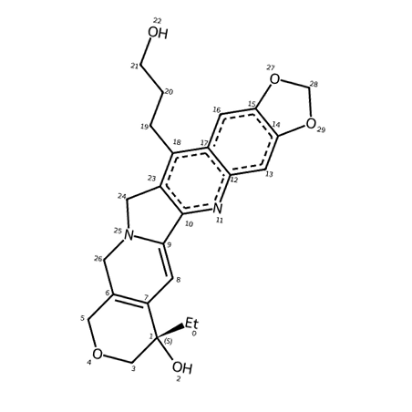 CC[C@@]1(O)COCC2=C1C=C1c3nc4cc5c(cc4c(CCCO)c3CN1C2)OCO5